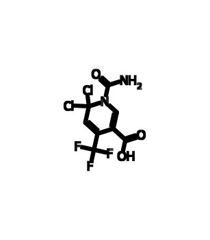 NC(=O)N1C=C(C(=O)O)C(C(F)(F)F)=CC1(Cl)Cl